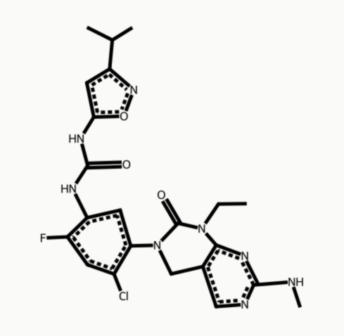 CCN1C(=O)N(c2cc(NC(=O)Nc3cc(C(C)C)no3)c(F)cc2Cl)Cc2cnc(NC)nc21